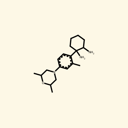 Cc1cc(N2CC(C)OC(C)C2)ccc1C1(N)CCCCC1N